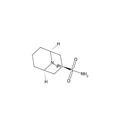 CC(C)N1[C@@H]2CCC[C@H]1C[C@@H](S(N)(=O)=O)C2